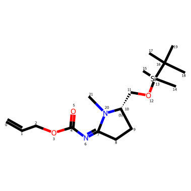 C=CCOC(=O)N=C1CC[C@@H](CO[Si](C)(C)C(C)(C)C)N1C